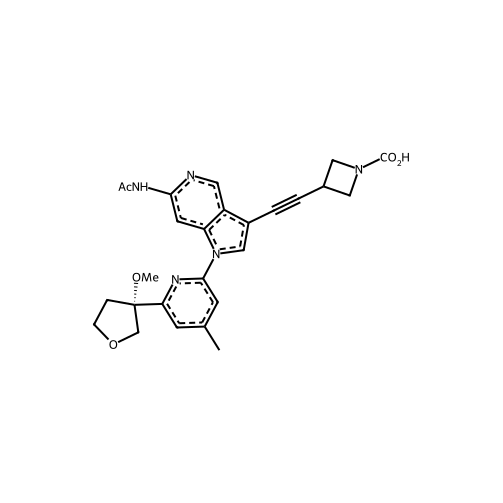 CO[C@@]1(c2cc(C)cc(-n3cc(C#CC4CN(C(=O)O)C4)c4cnc(NC(C)=O)cc43)n2)CCOC1